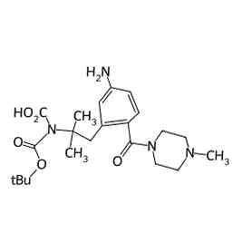 CN1CCN(C(=O)c2ccc(N)cc2CC(C)(C)N(C(=O)O)C(=O)OC(C)(C)C)CC1